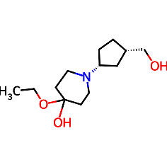 CCOC1(O)CCN([C@@H]2CC[C@H](CO)C2)CC1